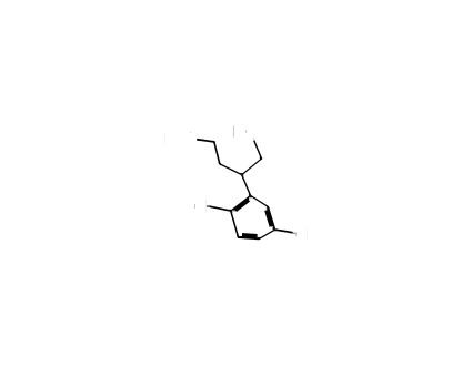 CCCC(CC)c1cc(Cl)ccc1Cl